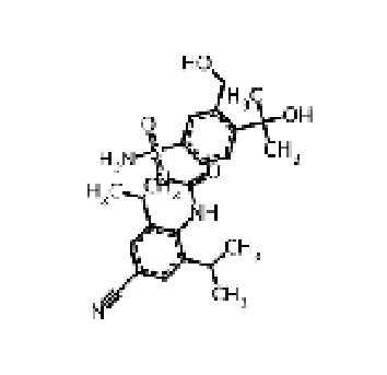 CC(C)c1cc(C#N)cc(C(C)C)c1NC(=O)N=S(N)(=O)c1ccc(C(C)(C)O)c(CO)c1